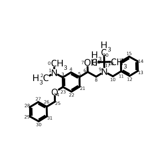 CN(C)c1cc(C(O)CN(Cc2ccccc2)C(C)(C)C)ccc1OCc1ccccc1